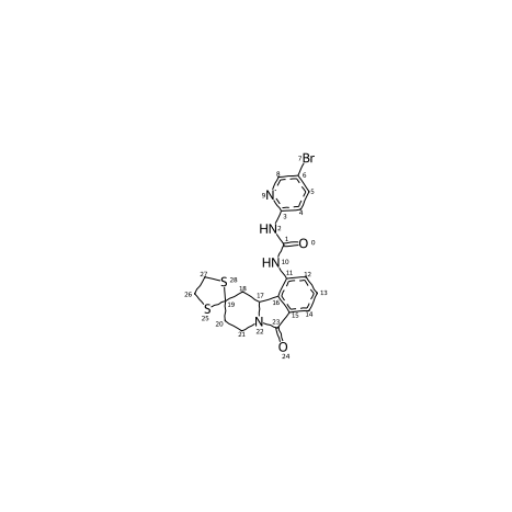 O=C(Nc1ccc(Br)cn1)Nc1cccc2c1C1CC3(CCN1C2=O)SCCS3